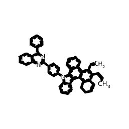 C=Cc1c(/C=C\C)c2c(c3c1c1ccccc1c1c3c3ccccc3n1-c1ccc(-c3nc(-c4ccccc4)c4ccccc4n3)cc1)CCC=C2